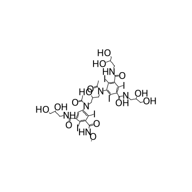 CONC(=O)c1c(I)c(C(=O)NCC(O)CO)cc(N(CC(O)CN(C(C)=O)c2c(I)c(C(=O)NCC(O)CO)c(I)c(C(=O)NCC(O)CO)c2I)C(C)=O)c1I